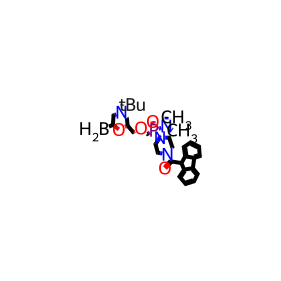 BC1CN(C(C)(C)C)CC(COCP(=O)(N(C)C)N2CCN(C(=O)C3c4ccccc4-c4ccccc43)CC2)O1